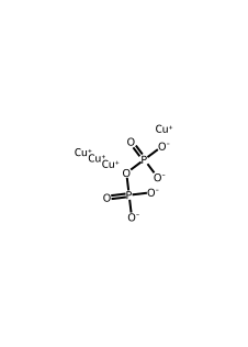 O=P([O-])([O-])OP(=O)([O-])[O-].[Cu+].[Cu+].[Cu+].[Cu+]